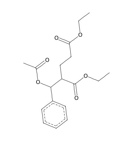 CCOC(=O)CCC(C(=O)OCC)C(OC(C)=O)c1ccccc1